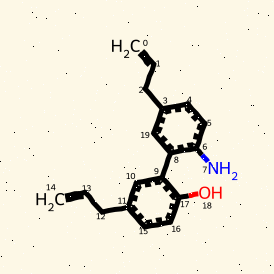 C=CCc1ccc(N)c(-c2cc(CC=C)ccc2O)c1